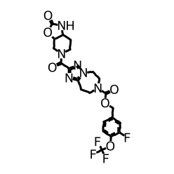 O=C1NC2CCN(C(=O)c3nc4n(n3)CCN(C(=O)OCc3ccc(OC(F)(F)F)c(F)c3)CC4)CC2O1